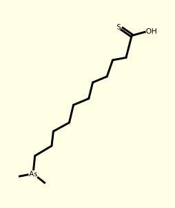 C[As](C)CCCCCCCCCCC(O)=S